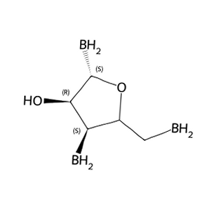 BCC1O[C@@H](B)[C@H](O)[C@@H]1B